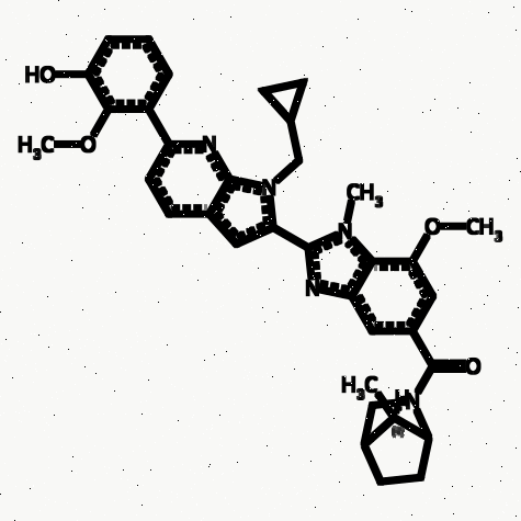 COc1c(O)cccc1-c1ccc2cc(-c3nc4cc(C(=O)N5CC6CCC5[C@@H]6C)cc(OC)c4n3C)n(CC3CC3)c2n1